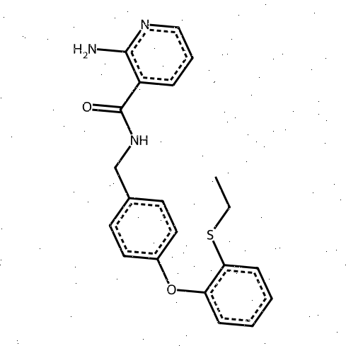 CCSc1ccccc1Oc1ccc(CNC(=O)c2cccnc2N)cc1